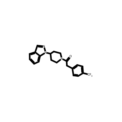 O=C(Cc1ccc(C(F)(F)F)cc1)N1CCC(n2ncc3ccccc32)CC1